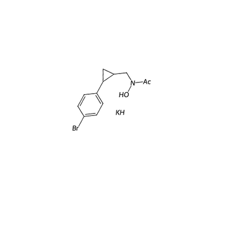 CC(=O)N(O)CC1CC1c1ccc(Br)cc1.[KH]